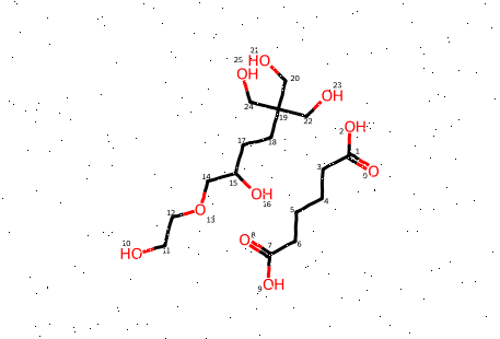 O=C(O)CCCCC(=O)O.OCCOCC(O)CCC(CO)(CO)CO